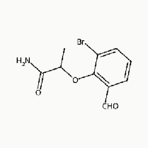 CC(Oc1c(Br)cccc1C=O)C(N)=O